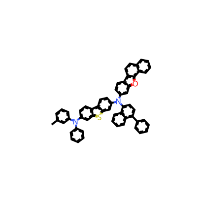 Cc1cccc(N(c2ccccc2)c2ccc3c(c2)sc2cc(N(c4ccc5c(c4)oc4c6ccccc6ccc54)c4ccc(-c5ccccc5)c5ccccc45)ccc23)c1